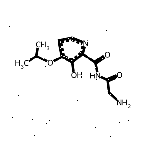 CC(C)Oc1ccnc(C(=O)NC(=O)CN)c1O